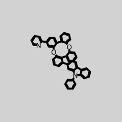 c1ccc(-n2c3ccccc3c3ccc(-c4cccc5c4-c4ccccc4Oc4ccccc4-c4ccc(-c6ccccn6)cc4O5)cc32)cc1